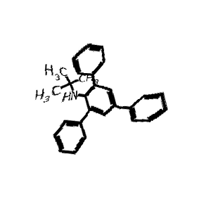 CC(C)(C)Nc1c(-c2ccccc2)cc(-c2ccccc2)cc1-c1ccccc1